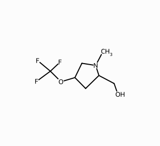 CN1CC(OC(F)(F)F)CC1CO